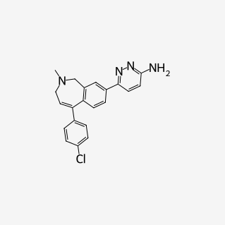 CN1CC=C(c2ccc(Cl)cc2)c2ccc(-c3ccc(N)nn3)cc2C1